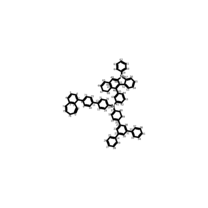 C1#Cc2c(cccc2-c2ccc(-c3ccc(N(C4=CC=C(c5cc(-c6ccccc6)cc(-c6ccccc6)c5)CC4)c4cccc(-c5c6c(cc7c5c5ccccc5n7-c5ccccc5)C=CCC6)c4)cc3)cc2)C=CC1